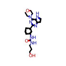 O=C(NCCCO)Nc1cccc(-c2nc(N3CCOCC3)c3[nH]ccc3n2)c1